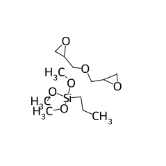 C(OCC1CO1)C1CO1.CCC[Si](OC)(OC)OC